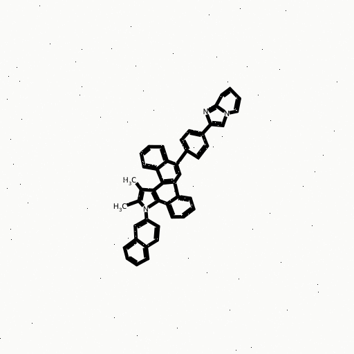 Cc1c(C)n(-c2ccc3ccccc3c2)c2c3ccccc3c3cc(-c4ccc(-c5cn6ccccc6n5)cc4)c4ccccc4c3c12